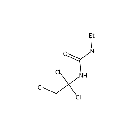 CC[N]C(=O)NC(Cl)(Cl)CCl